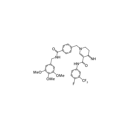 COc1cc(CNC(=O)c2ccc(CN3C=C(C(=O)Nc4ccc(F)c(C(F)(F)F)c4)C(=N)CC3)cc2)cc(OC)c1OC